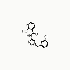 O=C(Nc1cn(Cc2cccc(Cl)c2)cn1)c1cccnc1O